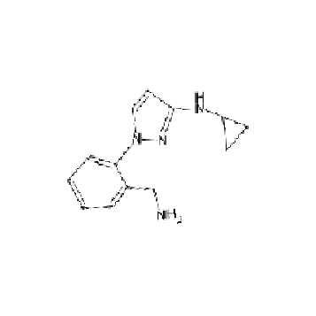 NCc1ccccc1-n1ccc(NC2CC2)n1